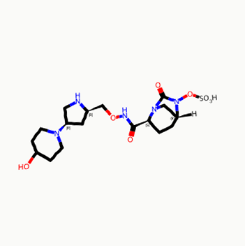 O=C(NOC[C@H]1C[C@@H](N2CCC(O)CC2)CN1)[C@@H]1CC[C@@H]2CN1C(=O)N2OS(=O)(=O)O